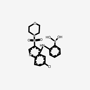 O=S(=O)(c1cnc2ccc(Cl)cc2c1Nc1ccccc1B(O)O)N1CCOCC1